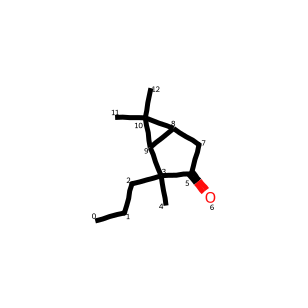 CCCC1(C)C(=O)CC2C1C2(C)C